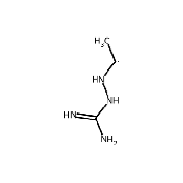 C[CH]NNC(=N)N